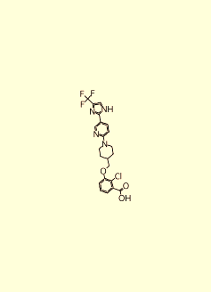 O=C(O)c1cccc(OCC2CCN(c3ccc(-c4nc(C(F)(F)F)c[nH]4)cn3)CC2)c1Cl